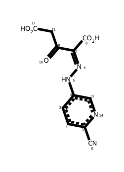 N#Cc1ccc(N/N=C(/C(=O)O)C(=O)CC(=O)O)cn1